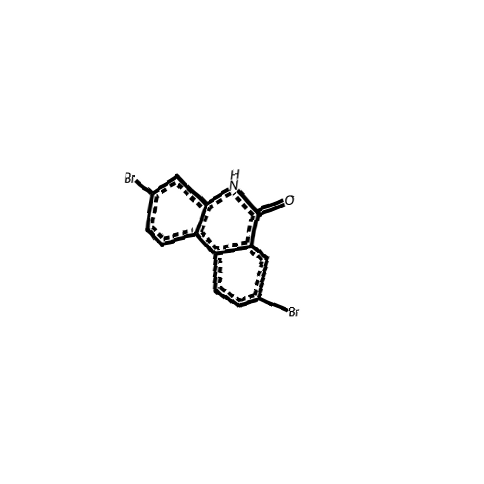 O=c1[nH]c2cc(Br)ccc2c2ccc(Br)cc12